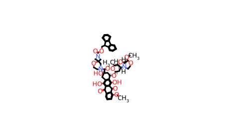 COc1cccc2c1C(=O)c1c(O)c3c(c(O)c1C2=O)C[C@@](O)(C(=O)N1CCOC2(CN(C(=O)OCC4c5ccccc5-c5ccccc54)C2)C1)C[C@@H]3O[C@H]1C[C@H]2[C@H](O[C@@H]3[C@@H](OC)OCCN32)[C@H](C)O1